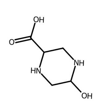 O=C(O)C1CNC(O)CN1